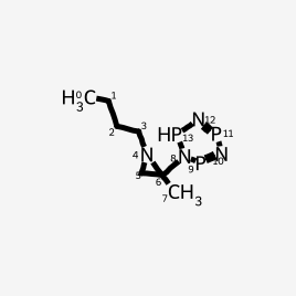 CCCCN1CC1(C)N1P=NP=NP1